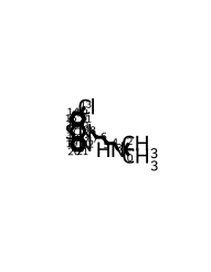 CC(C)NCCCCCN1c2cc(Cl)ccc2Sc2cccnc21